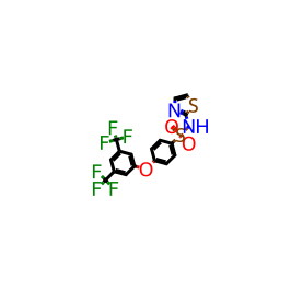 O=S(=O)(Nc1nccs1)c1ccc(Oc2cc(C(F)(F)F)cc(C(F)(F)F)c2)cc1